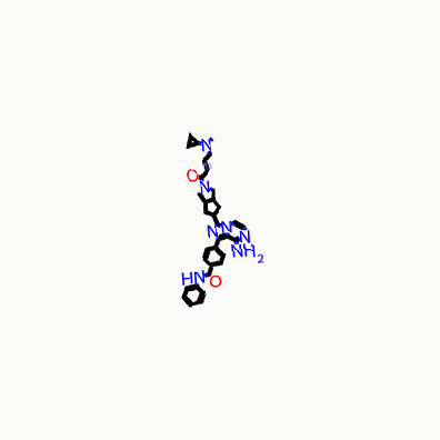 CN(C/C=C/C(=O)N1CC2CC(c3nc(-c4ccc(C(=O)Nc5ccccc5)cc4)c4c(N)nccn34)CC2C1)C1CC1